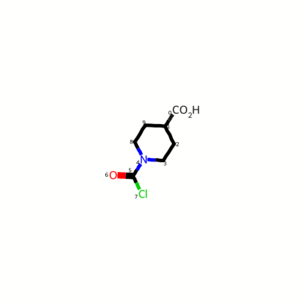 O=C(O)C1CCN(C(=O)Cl)CC1